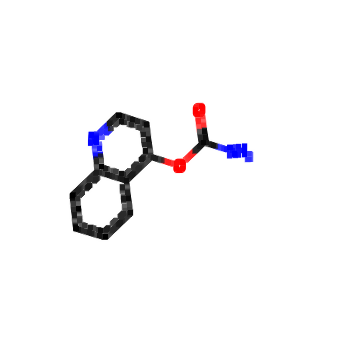 NC(=O)Oc1ccnc2ccccc12